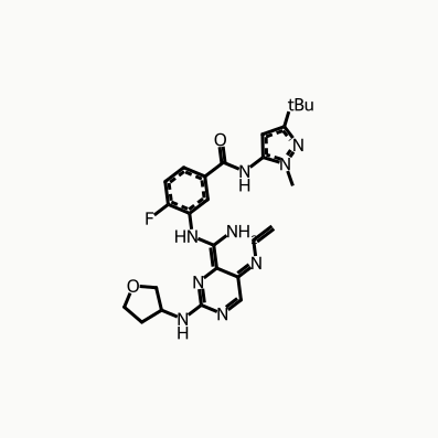 C=C/N=C1/C=NC(NC2CCOC2)=N/C1=C(/N)Nc1cc(C(=O)Nc2cc(C(C)(C)C)nn2C)ccc1F